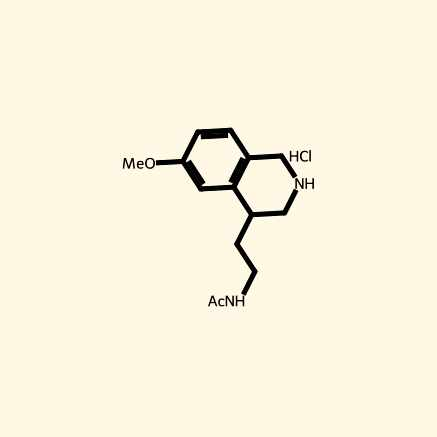 COc1ccc2c(c1)C(CCNC(C)=O)CNC2.Cl